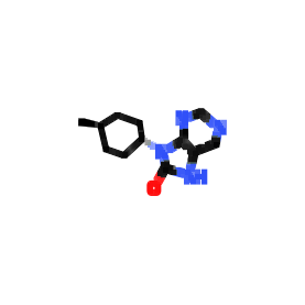 C[C@H]1CC[C@H](n2c(=O)[nH]c3cncnc32)CC1